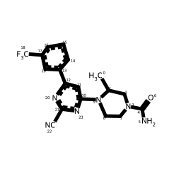 CC1CN(C(N)=O)CCN1c1cc(-c2cccc(C(F)(F)F)c2)nc(C#N)n1